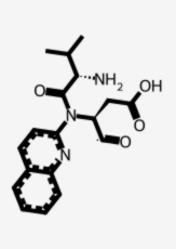 CC(C)[C@H](N)C(=O)N(c1ccc2ccccc2n1)[C@H]([C]=O)CC(=O)O